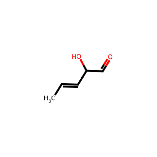 CC=CC(O)C=O